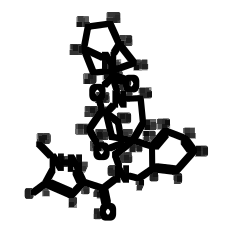 Cc1cc(C(=O)N2Cc3ccccc3C3(CCN(C4CC5CCC(C4)N5C(=O)OC4CCOC4)CC3)C2)nn1C